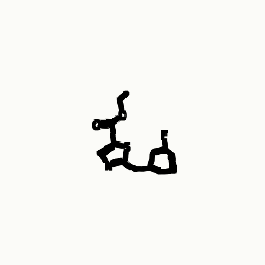 CCOC(=O)c1cnc(Cc2cccc(F)c2)s1